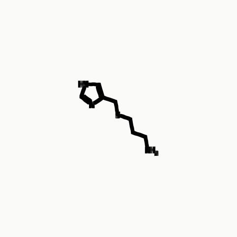 NCCCSCc1c[nH]cn1